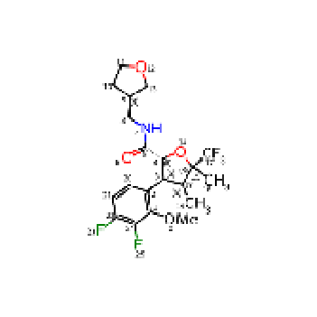 COc1c([C@H]2[C@H](C(=O)NC[C@H]3CCOC3)O[C@@](C)(C(F)(F)F)[C@H]2C)ccc(F)c1F